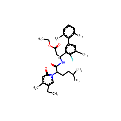 CCOC(=O)C[C@H](NC(=O)C(CCC(C)C)n1cc(CC)c(C)cc1=O)c1cc(-c2c(C)cccc2C)cc(C)c1F